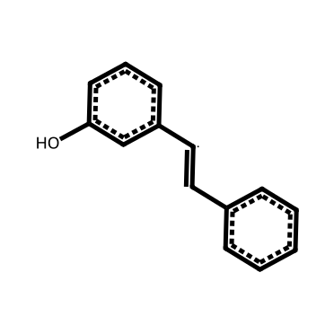 Oc1cccc([C]=Cc2ccccc2)c1